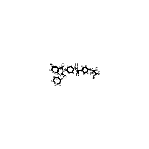 O=C(N[C@H]1CC[C@@H](n2c(=O)c3cc(F)cnc3n(C3CCSCC3)c2=O)CC1)c1ccc(OC(F)(F)C(F)F)cc1